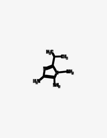 CC(C)c1nc(N)c(N)n1N